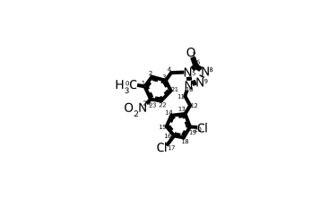 Cc1cc(Cn2c(=O)nnn2CCc2ccc(Cl)cc2Cl)ccc1[N+](=O)[O-]